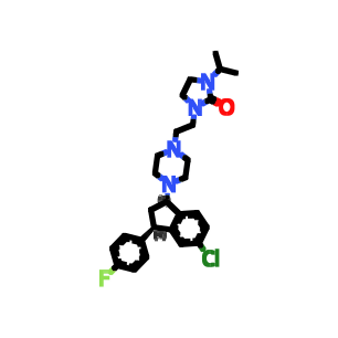 CC(C)N1CCN(CCN2CCN([C@H]3C[C@H](c4ccc(F)cc4)c4cc(Cl)ccc43)CC2)C1=O